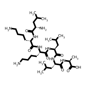 CC(C)C[C@H](NC(=O)[C@H](CC(C)C)NC(=O)[C@H](CCCCN)NC(=O)[C@H](CCCCN)NC(=O)[C@@H](N)CC(C)C)C(=O)N[C@@H](C)C(=O)O